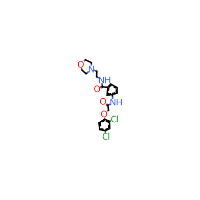 O=C(COc1ccc(Cl)cc1Cl)Nc1cccc(C(=O)NCCN2CCOCC2)c1